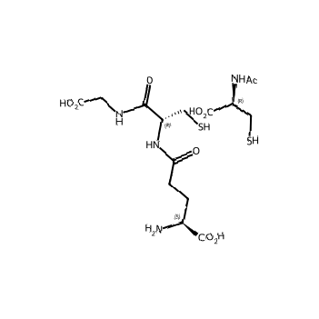 CC(=O)N[C@@H](CS)C(=O)O.N[C@@H](CCC(=O)N[C@@H](CS)C(=O)NCC(=O)O)C(=O)O